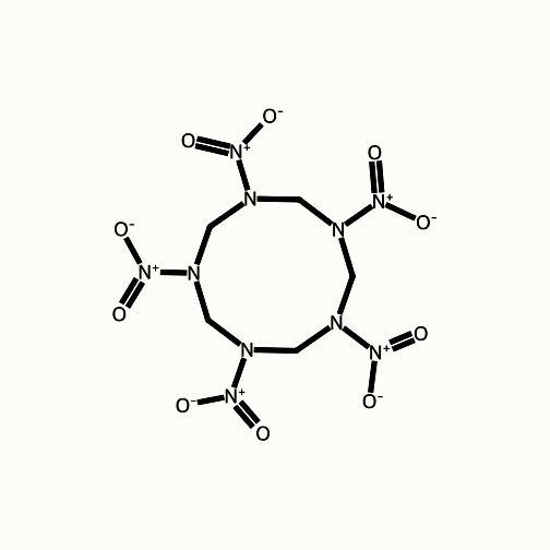 O=[N+]([O-])N1CN([N+](=O)[O-])CN([N+](=O)[O-])CN([N+](=O)[O-])CN([N+](=O)[O-])C1